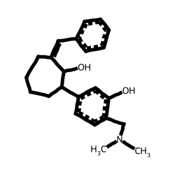 CN(C)Cc1ccc(C2CCCCC(=Cc3ccccc3)C2O)cc1O